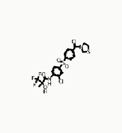 CC(O)(C(=O)Nc1ccc(S(=O)(=O)c2ccc(C(=O)N3CCSC3)cc2)cc1Cl)C(F)(F)F